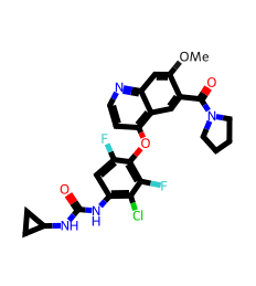 COc1cc2nccc(Oc3c(F)cc(NC(=O)NC4CC4)c(Cl)c3F)c2cc1C(=O)N1CCCC1